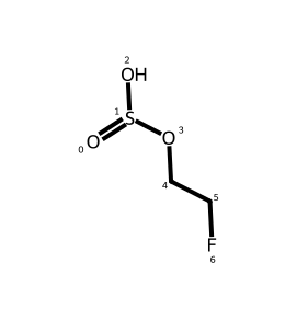 O=S(O)OCCF